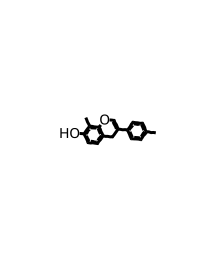 Cc1ccc(C2=COc3c(ccc(O)c3C)C2)cc1